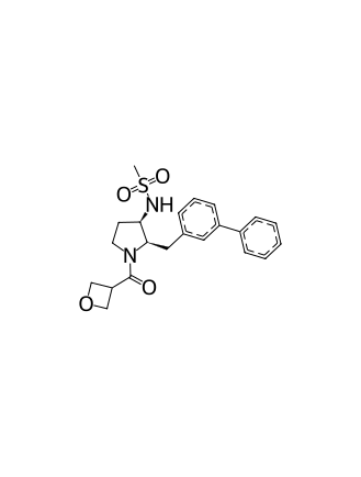 CS(=O)(=O)N[C@@H]1CCN(C(=O)C2COC2)[C@@H]1Cc1cccc(-c2ccccc2)c1